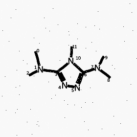 CN(C)c1nnc(N(C)C)n1C